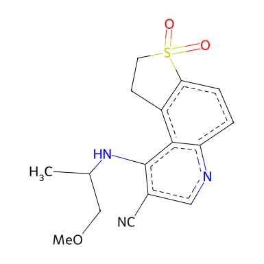 COCC(C)Nc1c(C#N)cnc2ccc3c(c12)CCS3(=O)=O